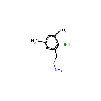 Cc1cc(C)cc(CON)c1.Cl